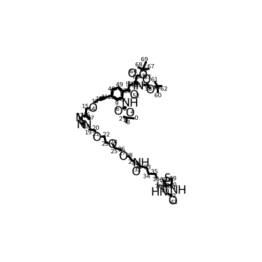 CC(C)(C)OC(=O)Nc1cc(C#CCOCc2cn(CCOCCOCCOCCNC(=O)CCCC[C@@H]3SCC4NC(=O)N[C@@H]43)nn2)ccc1C(=O)C[C@H](NC(=O)OC(C)(C)C)C(=O)OC(C)(C)C